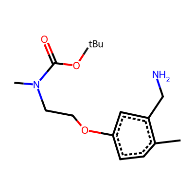 Cc1ccc(OCCN(C)C(=O)OC(C)(C)C)cc1CN